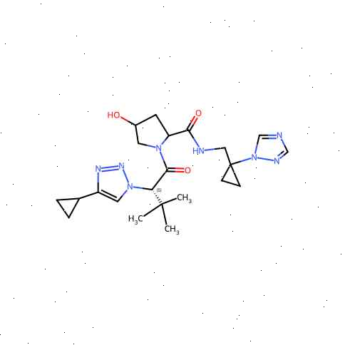 CC(C)(C)[C@@H](C(=O)N1CC(O)CC1C(=O)NCC1(n2cncn2)CC1)n1cc(C2CC2)nn1